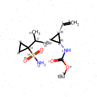 C=C[C@H]1C[C@H]1NC(=O)OC(C)(C)C.CCCCC(C)C1(S(N)(=O)=O)CC1